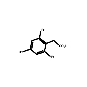 CC(C)c1cc(C(C)C)c(CC(=O)O)c(C(C)C)c1